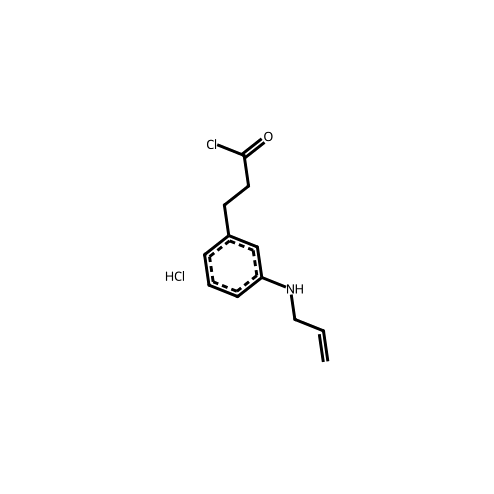 C=CCNc1cccc(CCC(=O)Cl)c1.Cl